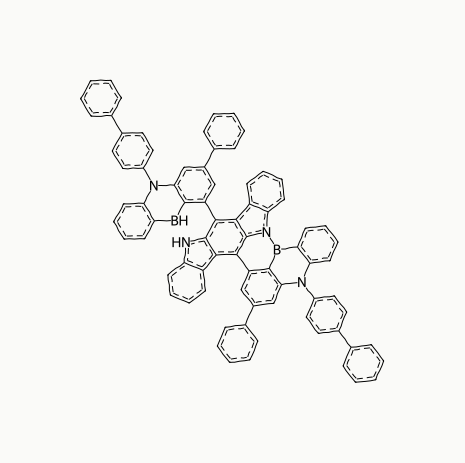 B1c2ccccc2N(c2ccc(-c3ccccc3)cc2)c2cc(-c3ccccc3)cc(-c3c4[nH]c5ccccc5c4c4c5c3c3ccccc3n5B3c5ccccc5N(c5ccc(-c6ccccc6)cc5)c5cc(-c6ccccc6)cc-4c53)c21